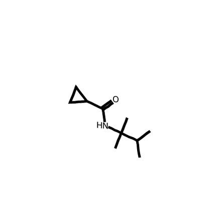 CC(C)C(C)(C)NC(=O)C1CC1